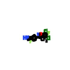 Fc1c(Cl)cc(C2(C(F)(F)F)CC(c3ccc(C4(F)CNC4)cc3)=NO2)cc1Cl